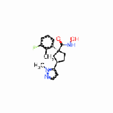 Cc1c(F)cccc1[C@]1(C(=O)NO)CCC(c2ccnn2C)C1